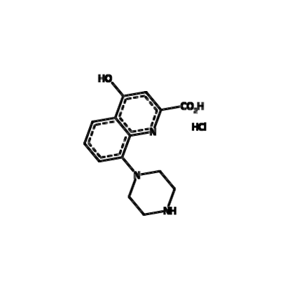 Cl.O=C(O)c1cc(O)c2cccc(N3CCNCC3)c2n1